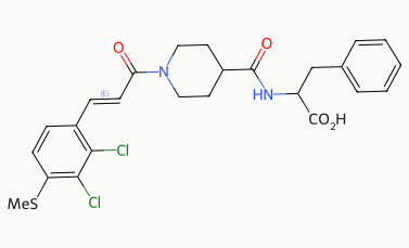 CSc1ccc(/C=C/C(=O)N2CCC(C(=O)NC(Cc3ccccc3)C(=O)O)CC2)c(Cl)c1Cl